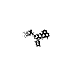 C#Cc1c(F)ccc2cccc(-c3ncc4c(N5CC6CCC(C5)N6)nc(OCC5(CN(C)C)CC5)nc4n3)c12